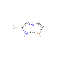 Clc1cn2[c]csc2n1